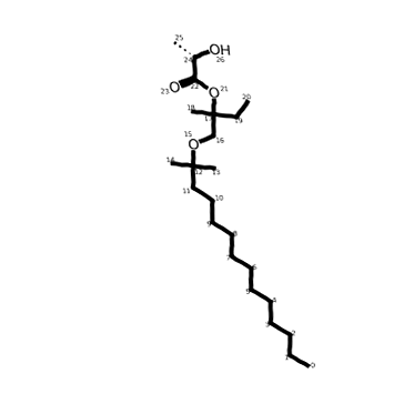 CCCCCCCCCCCCC(C)(C)OCC(C)(CC)OC(=O)[C@H](C)O